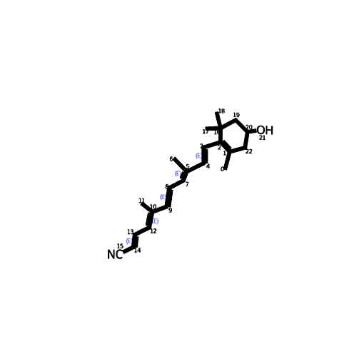 CC1=C(/C=C/C(C)=C/C=C/C(C)=C/C=C/C#N)C(C)(C)CC(O)C1